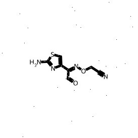 N#CCON=C([C]=O)c1csc(N)n1